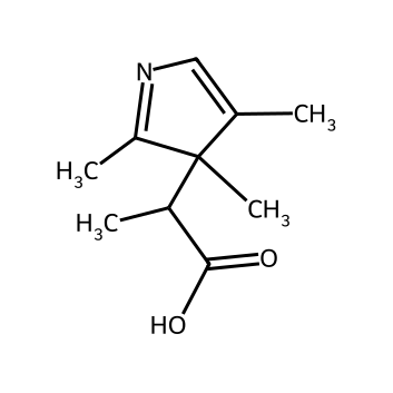 CC1=CN=C(C)C1(C)C(C)C(=O)O